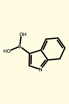 OB(O)C1=CN=C2CC=CC=C12